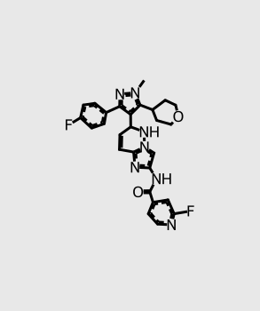 Cn1nc(-c2ccc(F)cc2)c(C2C=Cc3nc(NC(=O)c4ccnc(F)c4)cn3N2)c1C1CCOCC1